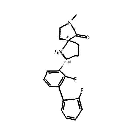 CN1CC[C@]2(CC[C@H](c3cccc(-c4ccccc4F)c3F)N2)C1=O